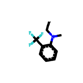 [CH2]CN(C)c1ccccc1C(F)(F)F